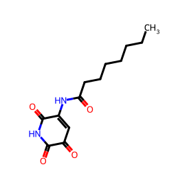 CCCCCCCC(=O)NC1=CC(=O)C(=O)NC1=O